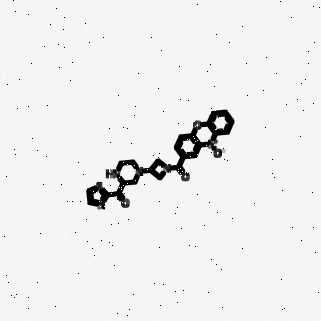 O=C(c1nccs1)C1CN(C2CN(C(=O)c3ccc4c(c3)[S+]([O-])c3ccccc3O4)C2)CCN1